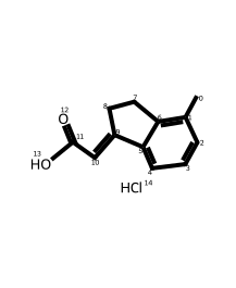 Cc1cccc2c1CCC2=CC(=O)O.Cl